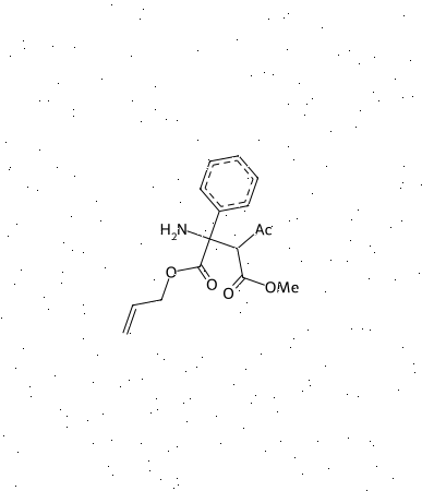 C=CCOC(=O)C(N)(c1ccccc1)C(C(C)=O)C(=O)OC